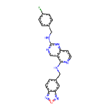 Fc1ccc(CNc2ncc3c(NCc4ccc5nonc5c4)nccc3n2)cc1